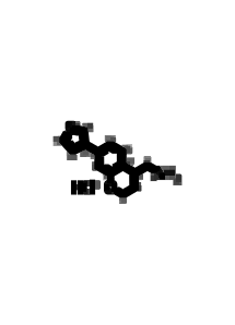 Cl.NCC1=CCOc2cc(-c3ccsc3)ccc21